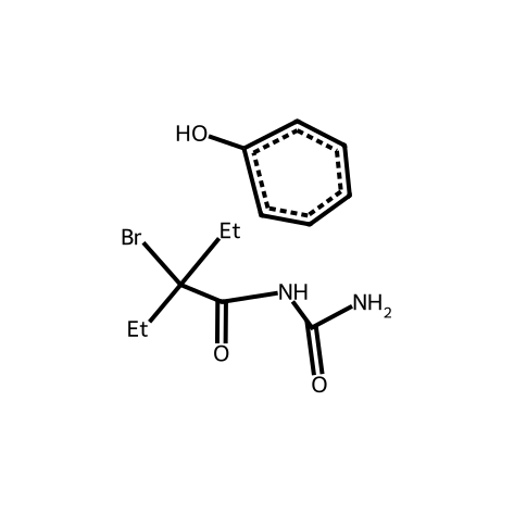 CCC(Br)(CC)C(=O)NC(N)=O.Oc1ccccc1